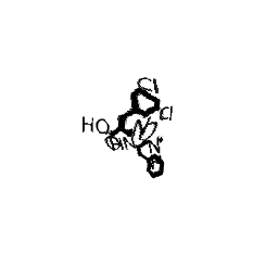 CNC(=O)C(Cc1ccccc1)Nc1nc2c(Cl)cc(Cl)cc2cc1C(=O)O